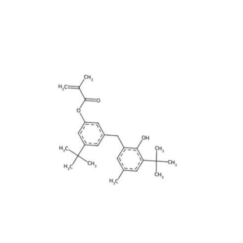 C=C(C)C(=O)Oc1cc(Cc2cc(C)cc(C(C)(C)C)c2O)cc(C(C)(C)C)c1